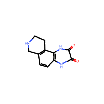 O=c1[nH]c2ccc3c(c2[nH]c1=O)CCNC3